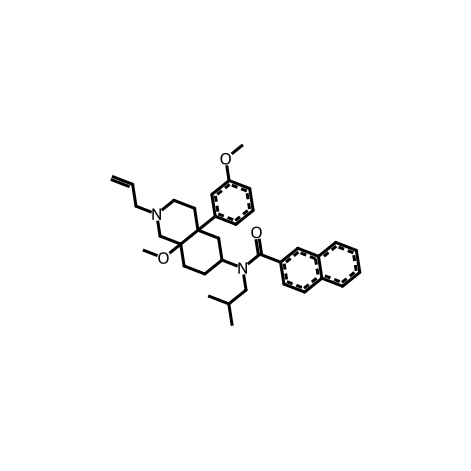 C=CCN1CCC2(c3cccc(OC)c3)CC(N(CC(C)C)C(=O)c3ccc4ccccc4c3)CCC2(OC)C1